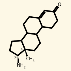 C[C@]12CCC3C4CCC(=O)C=C4CCC3C1CC[C@@H]2N